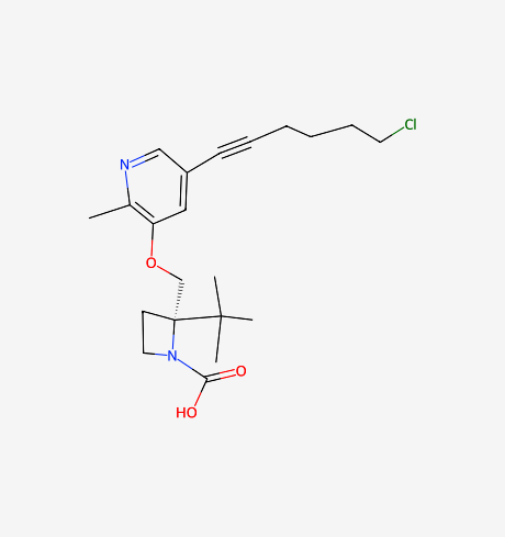 Cc1ncc(C#CCCCCCl)cc1OC[C@@]1(C(C)(C)C)CCN1C(=O)O